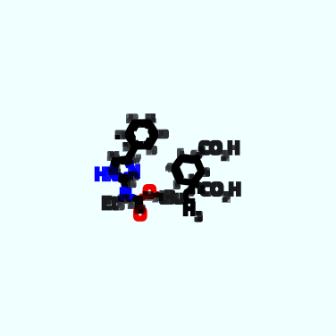 CC1(C(=O)O)C=CC=C(C(=O)O)C1.CCN(C(=O)OC(C)(C)C)c1nc(-c2ccccc2)c[nH]1